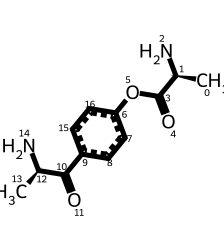 C[C@H](N)C(=O)Oc1ccc(C(=O)[C@@H](C)N)cc1